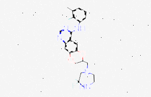 Cc1cccc(Nc2ncnc3cc4c(cc23)OC(CN2CCNCC(F)(F)C2)CO4)c1F